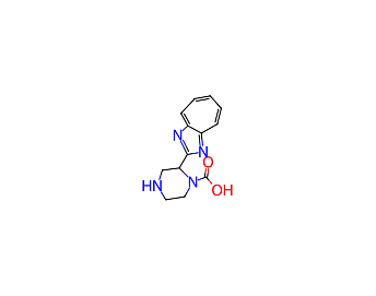 O=C(O)N1CCNCC1c1nc2cccccc-2n1